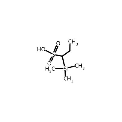 CCC([Si](C)(C)C)S(=O)(=O)O